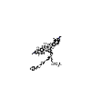 C/C=C1\C[C@H]2CNc3cc(OCc4cc(OCCN(CCCC(=O)OCC)C(=O)CCOCCOCCOCCN5CCOCC5)cc(COc5cc6c(cc5OC)C(=O)N5C/C(=C/C)C[C@H]5C=N6)n4)c(OC)cc3C(=O)N2C1